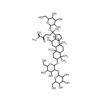 C=C(C)C(=O)CCC(C)(OC1OC(CO)C(O)C(O)C1O)C1CCC2(C)C1C(O)CC1C3(C)CCC(OC4OC(CO)C(O)C(O)C4OC4OC(CO)C(O)C(O)C4O)C(C)(C)C3CCC12C